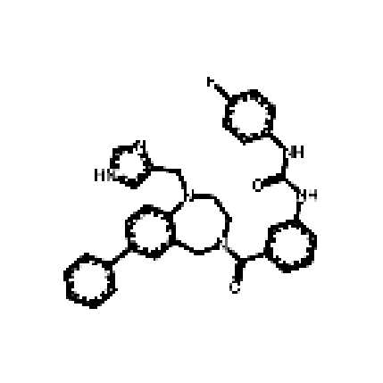 O=C(Nc1ccc(F)cc1)Nc1cccc(C(=O)N2CCN(Cc3c[nH]cn3)c3ccc(-c4ccccc4)cc3C2)c1